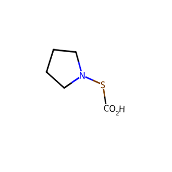 O=C(O)SN1CCCC1